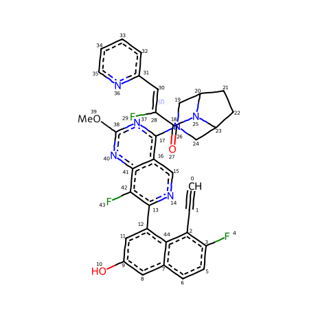 C#Cc1c(F)ccc2cc(O)cc(-c3ncc4c(N5CC6CCC(C5)N6C(=O)/C(F)=C/c5ccccn5)nc(OC)nc4c3F)c12